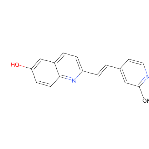 COc1cc(/C=C/c2ccc3cc(O)ccc3n2)ccn1